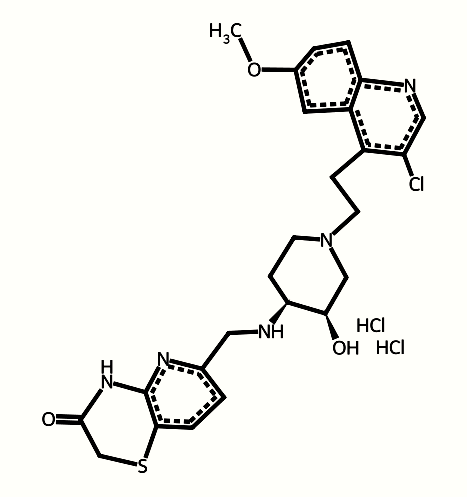 COc1ccc2ncc(Cl)c(CCN3CC[C@H](NCc4ccc5c(n4)NC(=O)CS5)[C@H](O)C3)c2c1.Cl.Cl